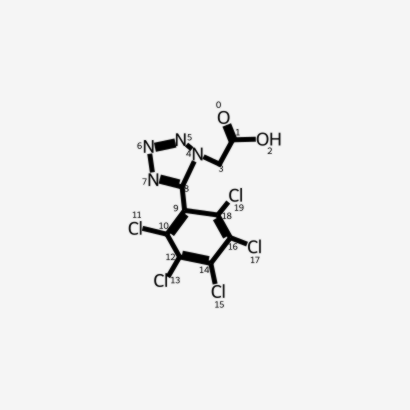 O=C(O)Cn1nnnc1-c1c(Cl)c(Cl)c(Cl)c(Cl)c1Cl